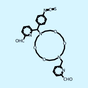 O=Cc1cccc(CN2CCOCCOCCN(C(c3ccc(N=C=S)cc3)c3cccc(C=O)n3)CCOCCOCC2)n1